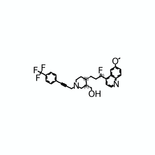 COc1ccc2nccc([C@H](F)CC[C@@H]3CCN(CC#Cc4ccc(C(F)(F)F)cc4)C[C@@H]3CO)c2c1